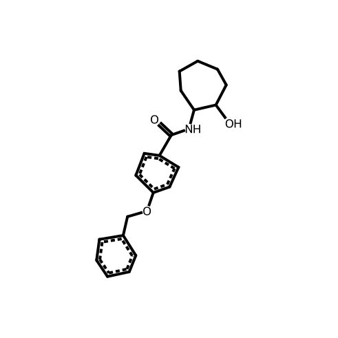 O=C(NC1CCCCCC1O)c1ccc(OCc2ccccc2)cc1